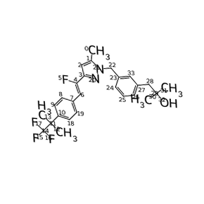 Cc1cc(/C(F)=C/c2ccc(C(C)(C)C(F)(F)F)cc2)nn1Cc1cccc(CC(C)(C)O)c1